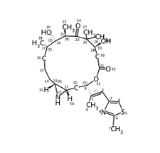 C/C(=C\c1csc(C)n1)[C@@H]1C[C@@H]2N[C@@H]2CCC[C@H](C)[C@H](O)[C@@H](C)C(=O)C(C)(C)[C@@H](O)CC(=O)O1